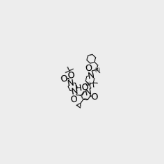 C[C@H](CC1CCCCC1)C(=O)N1CC[C@@](O)(Cn2cc(C(=O)N3CCN(C(=O)OC(C)(C)C)CC3)c(C3CC3)cc2=O)C(C)(C)C1